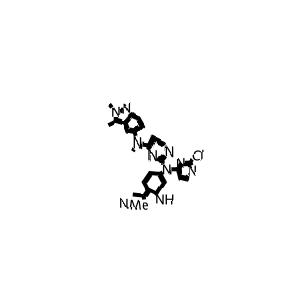 CN/C(C)=C1/C=CC(N(c2ccnc(Cl)n2)c2nccc(N(C)c3ccc4nn(C)c(C)c4c3)n2)=CC1=N